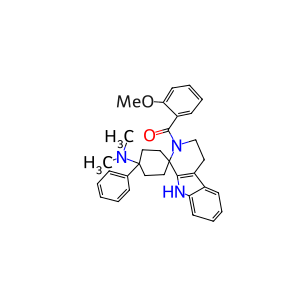 COc1ccccc1C(=O)N1CCc2c([nH]c3ccccc23)C12CCC(c1ccccc1)(N(C)C)CC2